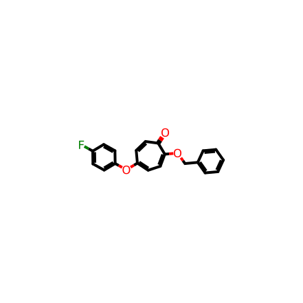 O=c1ccc(Oc2ccc(F)cc2)ccc1OCc1ccccc1